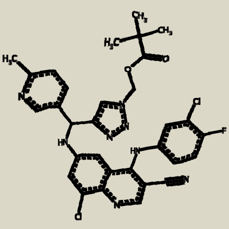 Cc1ccc(C(Nc2cc(Cl)c3ncc(C#N)c(Nc4ccc(F)c(Cl)c4)c3c2)c2cn(COC(=O)C(C)(C)C)nn2)cn1